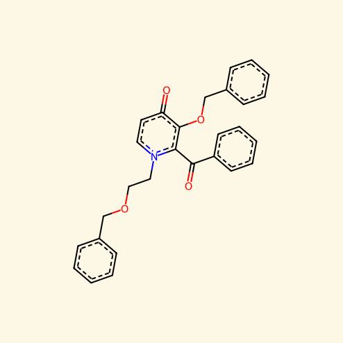 O=C(c1ccccc1)c1c(OCc2ccccc2)c(=O)ccn1CCOCc1ccccc1